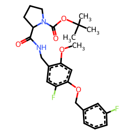 COc1cc(OCc2cccc(F)c2)c(F)cc1CNC(=O)C1CCCN1C(=O)OC(C)(C)C